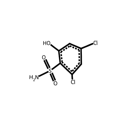 NS(=O)(=O)c1c(O)cc(Cl)cc1Cl